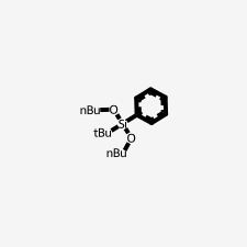 CCCCO[Si](OCCCC)(c1ccccc1)C(C)(C)C